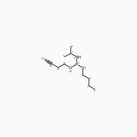 CCCCOP(NC(C)C)OCCC#N